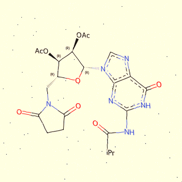 CC(=O)O[C@@H]1[C@H](OC(C)=O)[C@@H](CN2C(=O)CCC2=O)O[C@H]1n1cnc2c(=O)[nH]c(NC(=O)C(C)C)nc21